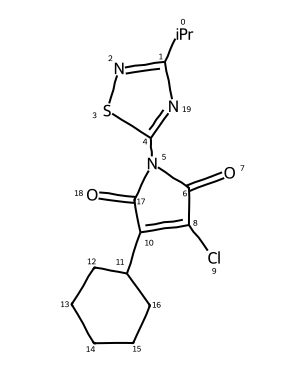 CC(C)c1nsc(N2C(=O)C(Cl)=C(C3CCCCC3)C2=O)n1